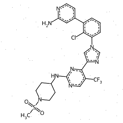 CS(=O)(=O)N1CCC(Nc2ncc(C(F)(F)F)c(-c3cn(-c4cccc(-c5ccnc(N)c5)c4Cl)cn3)n2)CC1